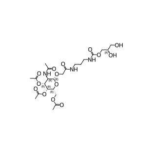 CC(=O)N[C@H]1[C@H](OCC(=O)NCCCNC(=O)OC[C@H](O)CO)O[C@H](COC(C)=O)[C@H](OC(C)=O)[C@@H]1OC(C)=O